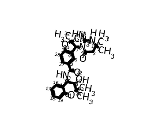 CC1(C)CC(=O)N(C2c3cc(C(=O)N[C@@H]4c5ccccc5OC(C)(C)[C@H]4O)ccc3OC2(C)C)C(=N)N1